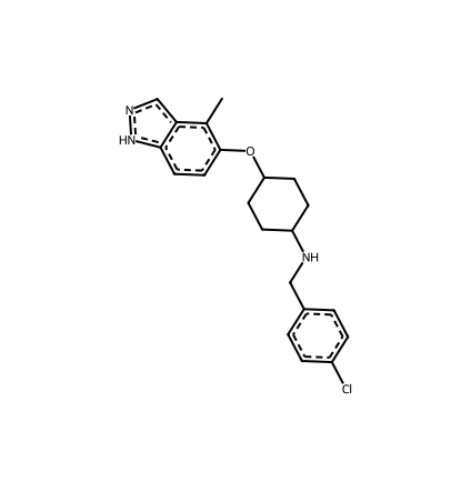 Cc1c(OC2CCC(NCc3ccc(Cl)cc3)CC2)ccc2[nH]ncc12